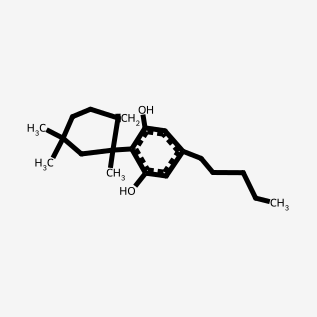 C=C1CCC(C)(C)CC1(C)c1c(O)cc(CCCCC)cc1O